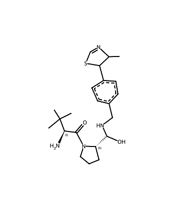 CC1N=CSC1c1ccc(CNC(O)[C@@H]2CCCN2C(=O)[C@@H](N)C(C)(C)C)cc1